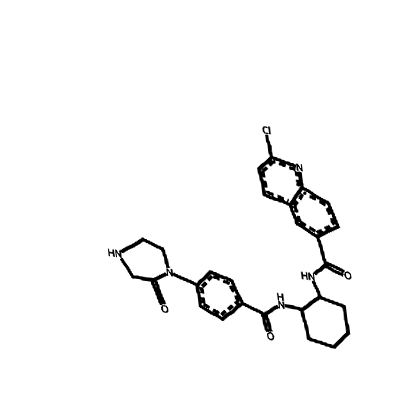 O=C(NC1CCCCC1NC(=O)c1ccc2nc(Cl)ccc2c1)c1ccc(N2CCNCC2=O)cc1